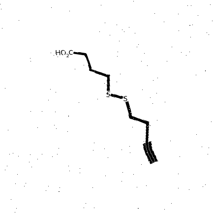 C#CCCSSCCCC(=O)O